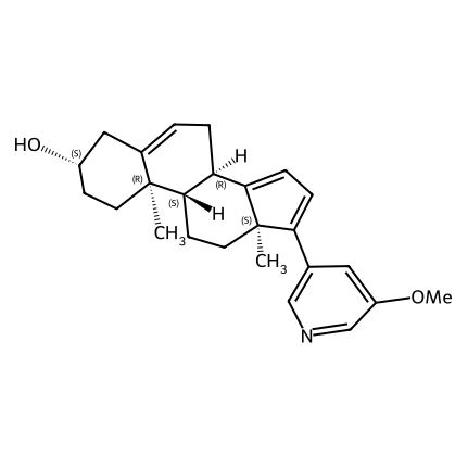 COc1cncc(C2=CC=C3[C@@H]4CC=C5C[C@@H](O)CC[C@]5(C)[C@H]4CC[C@]23C)c1